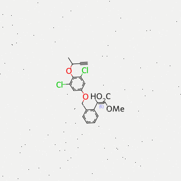 C#CC(C)Oc1c(Cl)cc(OCc2ccccc2/C(=C\OC)C(=O)O)cc1Cl